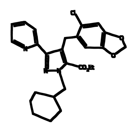 CCOC(=O)c1c(Cc2cc3c(cc2Cl)OCO3)c(-c2ccccn2)nn1CC1CCCCC1